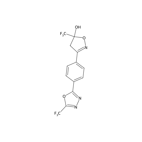 OC1(C(F)(F)F)CC(c2ccc(-c3nnc(C(F)(F)F)o3)cc2)=NO1